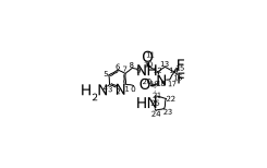 Cc1nc(N)ccc1CNC(=O)[C@H]1CC(F)(F)CN1C(=O)[C@@H]1CCCN1